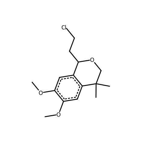 COc1cc2c(cc1OC)C(C)(C)COC2CCCl